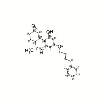 C[C@H]1Nc2cc(OCCCCc3ccccc3)cc(O)c2C2=CC(=O)CCC21